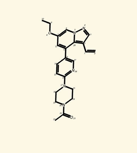 C=Cc1cnn2cc(OCC)cc(-c3ccc(N4CCN(C(C)=O)CC4)nc3)c12